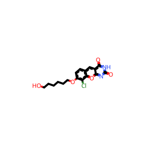 O=c1nc2oc3c(Cl)c(OCCCCCCO)ccc3cc-2c(=O)[nH]1